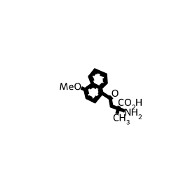 COc1ccc(C(=O)CC(C)(N)C(=O)O)c2ccccc12